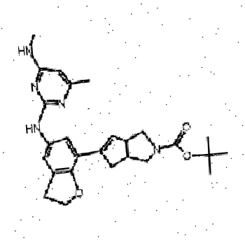 CNc1cc(C)nc(Nc2cc3c(c(C4=CC5CN(C(=O)OC(C)(C)C)CC5C4)c2)OCC3)n1